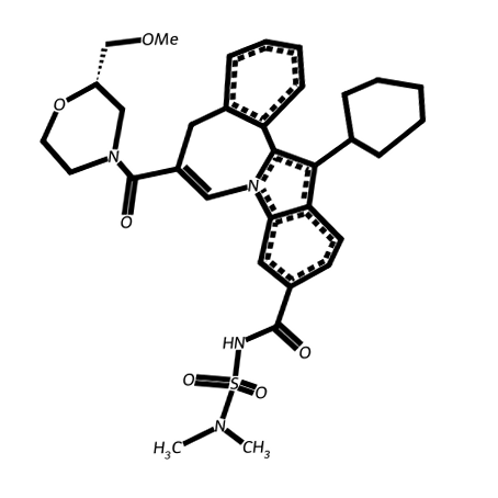 COC[C@@H]1CN(C(=O)C2=Cn3c(c(C4CCCCC4)c4ccc(C(=O)NS(=O)(=O)N(C)C)cc43)-c3ccccc3C2)CCO1